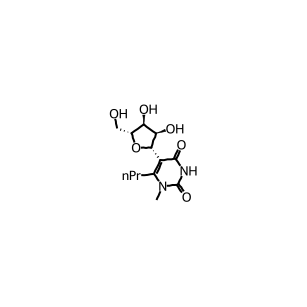 CCCc1c([C@@H]2O[C@H](CO)[C@@H](O)[C@H]2O)c(=O)[nH]c(=O)n1C